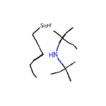 CC(C)(C)NC(C)(C)C.CCC[CH2][SnH]